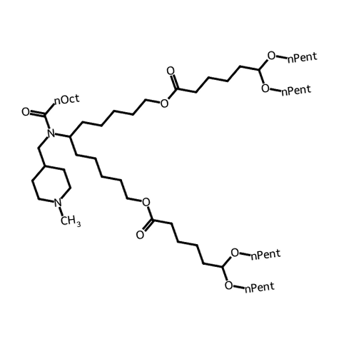 CCCCCCCCC(=O)N(CC1CCN(C)CC1)C(CCCCCOC(=O)CCCCC(OCCCCC)OCCCCC)CCCCCOC(=O)CCCCC(OCCCCC)OCCCCC